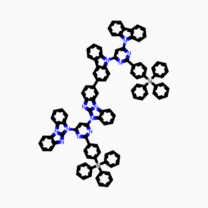 c1ccc([Si](c2ccccc2)(c2ccccc2)c2ccc(-c3nc(-n4c5ccccc5c5ccccc54)cc(-n4c5ccccc5c5cc(-c6ccc7nc8n(-c9cc(-n%10c%11ccccc%11n%11c%12ccccc%12nc%10%11)nc(-c%10ccc([Si](c%11ccccc%11)(c%11ccccc%11)c%11ccccc%11)cc%10)n9)c9ccccc9n8c7c6)ccc54)n3)cc2)cc1